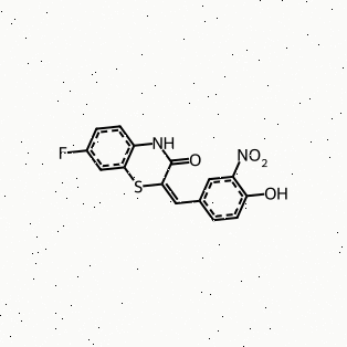 O=C1Nc2ccc(F)cc2S/C1=C/c1ccc(O)c([N+](=O)[O-])c1